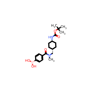 CN(C[C@H]1CC[C@H](NC(=O)OC(C)(C)C)CC1)C(=O)c1ccc(B(O)O)cc1